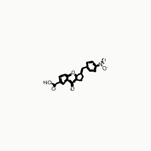 O=C(O)c1ccc2oc3c(c(=O)c2c1)CC/C3=C\c1ccc([N+](=O)[O-])cc1